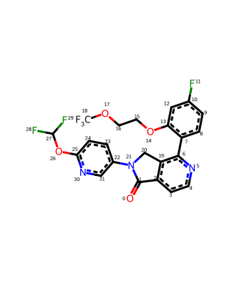 O=C1c2ccnc(-c3ccc(F)cc3OCCOC(F)(F)F)c2CN1c1ccc(OC(F)F)nc1